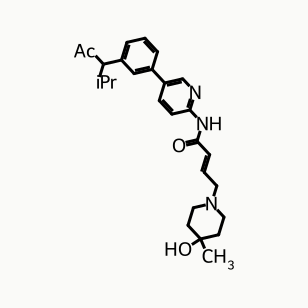 CC(=O)C(c1cccc(-c2ccc(NC(=O)/C=C/CN3CCC(C)(O)CC3)nc2)c1)C(C)C